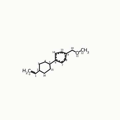 C=CC1CCC(c2ccc(COC)cc2)CC1